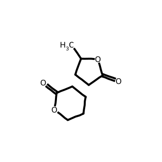 CC1CCC(=O)O1.O=C1CCCCO1